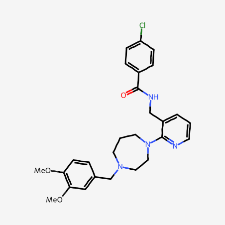 COc1ccc(CN2CCCN(c3ncccc3CNC(=O)c3ccc(Cl)cc3)CC2)cc1OC